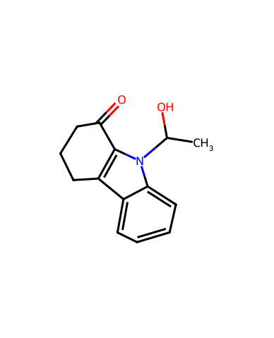 CC(O)n1c2c(c3ccccc31)CCCC2=O